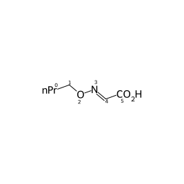 CCCCO/N=C/C(=O)O